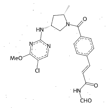 COc1nc(N[C@@H]2C[C@H](C)N(C(=O)c3ccc(C=CC(=O)NC=O)cc3)C2)ncc1Cl